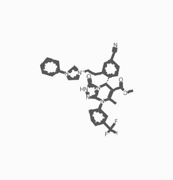 COC(=O)C1=C(C)N(c2cccc(C(F)(F)F)c2)c2n[nH]c(=O)n2[C@@H]1c1ccc(C#N)cc1CC[n+]1ccn(-c2ccccc2)c1